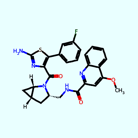 COc1cc(C(=O)NC[C@@H]2C[C@@H]3C[C@@H]3N2C(=O)c2nc(N)sc2-c2cccc(F)c2)nc2ccccc12